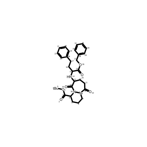 CC(C)(C)OC(=O)C1CCCN2C(=O)CCC(NC(CCc3ccccc3)C(=O)OCc3ccccc3)C(=O)N12